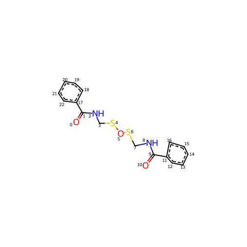 O=C(NCSOSCNC(=O)c1ccccc1)c1ccccc1